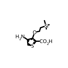 C[Si](C)(C)CCOc1c(N)csc1C(=O)O